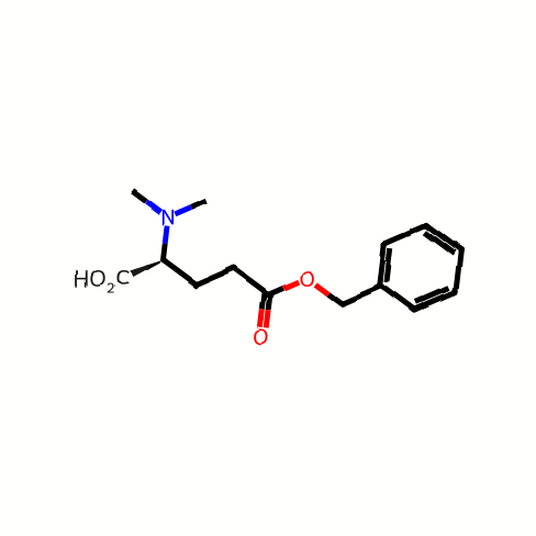 CN(C)[C@@H](CCC(=O)OCc1ccccc1)C(=O)O